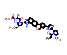 COC[C@H]1C[C@@H](c2nc3ccc4cc5c(cc4c3[nH]2)OCc2cc(-c3cnc([C@@H]4CC[C@H](C)N4C(=O)[CH]C(C)C)[nH]3)ccc2-5)N(C(=O)[C@@H](NC(=O)OC)C(C)C)C1